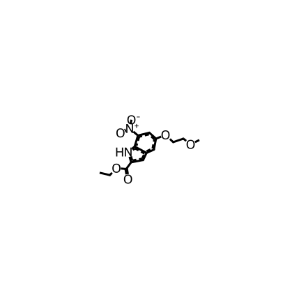 CCOC(=O)c1cc2cc(OCCOC)cc([N+](=O)[O-])c2[nH]1